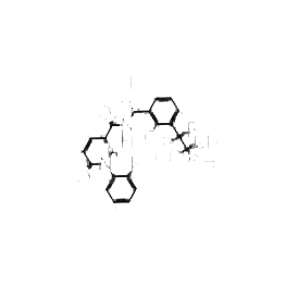 Cc1c([C@@H](C)NC(=O)c2ccc(=O)n(-c3ccccc3F)n2)cccc1C(F)(F)C(C)(C)O